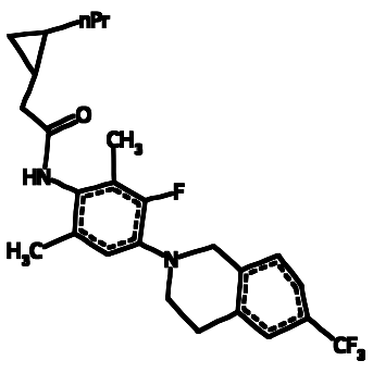 CCCC1CC1CC(=O)Nc1c(C)cc(N2CCc3cc(C(F)(F)F)ccc3C2)c(F)c1C